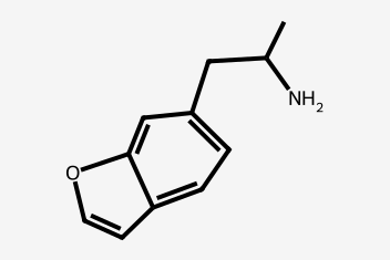 CC(N)Cc1ccc2ccoc2c1